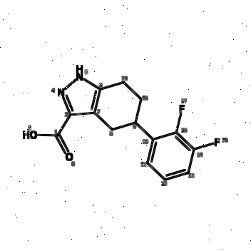 O=C(O)c1n[nH]c2c1CC(c1cccc(F)c1F)CC2